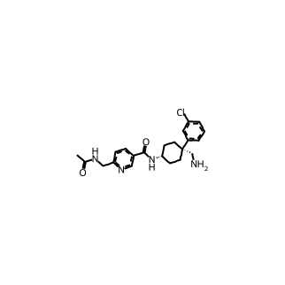 CC(=O)NCc1ccc(C(=O)N[C@H]2CC[C@](CN)(c3cccc(Cl)c3)CC2)cn1